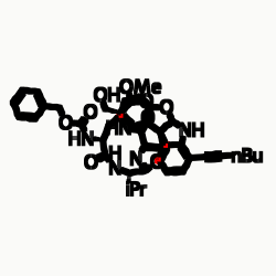 CCCCC#Cc1cccc2c1NC1Oc3ccc4cc3C21c1oc(nc1C(=O)N[C@@H](CO)C(=O)OC)[C@H](C(C)C)NC(=O)[C@@H](NC(=O)OCc1ccccc1)C4